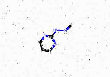 C=NNc1ncccn1